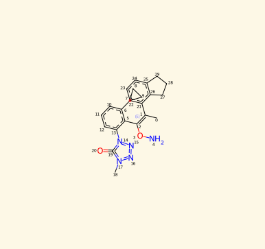 C/C(=C(\ON)c1c(C2CC2)cccc1-n1nnn(C)c1=O)c1cccc2c1CCC2